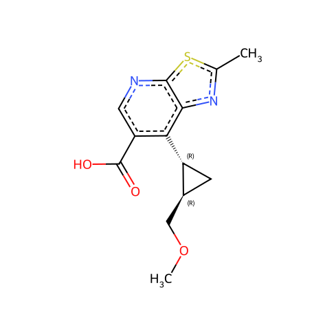 COC[C@@H]1C[C@H]1c1c(C(=O)O)cnc2sc(C)nc12